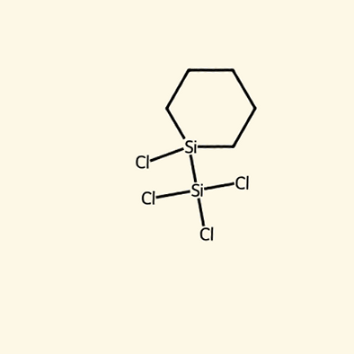 Cl[Si](Cl)(Cl)[Si]1(Cl)CCCCC1